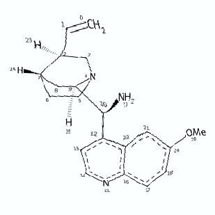 C=C[C@H]1CN2CC[C@H]1C[C@@H]2[C@@H](N)c1ccnc2ccc(OC)cc12